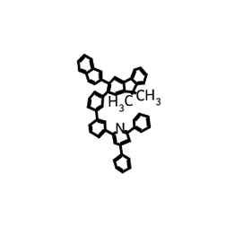 CC1(C)c2ccccc2-c2cc(-c3ccc4ccccc4c3)c(-c3cccc(-c4cccc(-c5cc(-c6ccccc6)cc(-c6ccccc6)n5)c4)c3)cc21